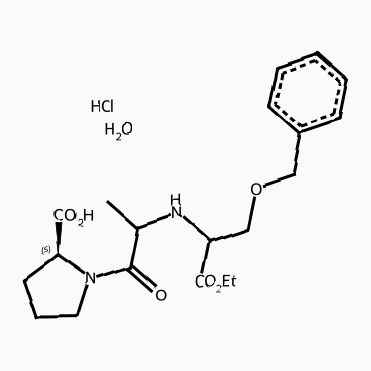 CCOC(=O)C(COCc1ccccc1)NC(C)C(=O)N1CCC[C@H]1C(=O)O.Cl.O